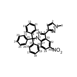 Cn1ccc(-c2nn(C(c3ccccc3)(c3ccccc3)c3ccccc3)c3ccc([N+](=O)[O-])cc23)n1